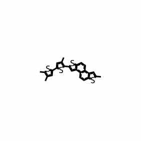 Cc1cc2c(ccc3c4cc(-c5sc(-c6cc(C)c(C)s6)cc5C)sc4ccc23)s1